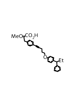 CCC(c1ccccc1)c1ccc(OCCCC#Cc2ccc(C[C@H](OC)C(=O)O)cc2)cc1